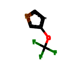 FC(F)(F)Oc1[c]csc1